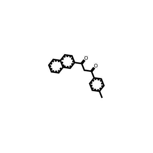 Cc1ccc(C(=O)CC(=O)c2ccc3ccccc3c2)cc1